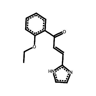 CCOc1ccccc1C(=O)C=Cc1ncc[nH]1